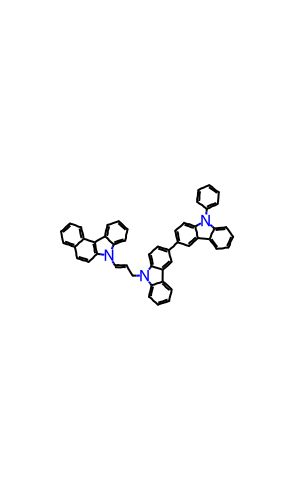 C(=C\n1c2ccccc2c2c3ccccc3ccc21)/Cn1c2ccccc2c2cc(-c3ccc4c(c3)c3ccccc3n4-c3ccccc3)ccc21